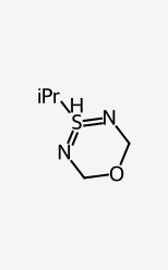 CC(C)[SH]1=NCOCN=1